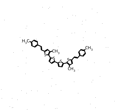 Cc1ccc(C=Cc2cc(C)c(-c3ccc(-c4ccc(-c5sc(C=Cc6ccc(C)cc6)cc5C)s4)s3)s2)cc1